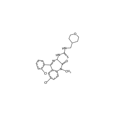 CN1C(=O)C(NC(=S)NCC2CCOCC2)N=C(c2ccccc2Cl)c2cc(Cl)ccc21